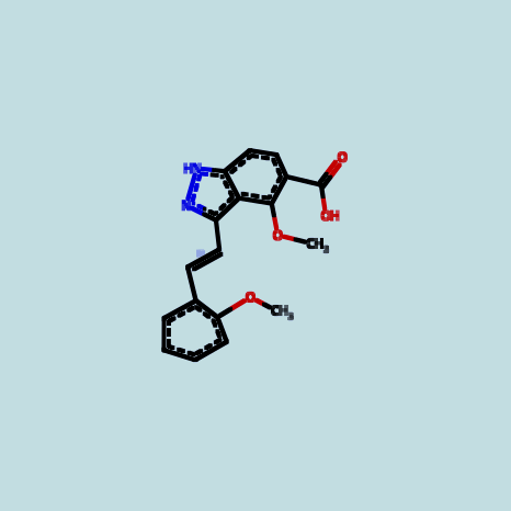 COc1ccccc1/C=C/c1n[nH]c2ccc(C(=O)O)c(OC)c12